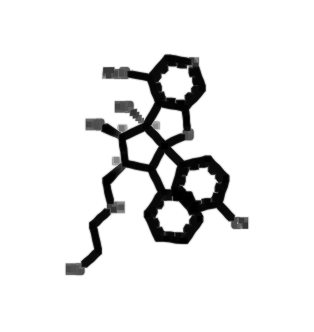 COc1cncc2c1[C@]1(O)[C@H](O)[C@H](CNCCO)C(c3ccccc3)C1(c1ccc(C#N)cc1)O2